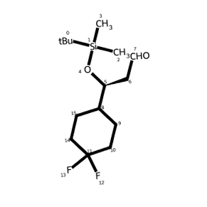 CC(C)(C)[Si](C)(C)O[C@@H](CC=O)C1CCC(F)(F)CC1